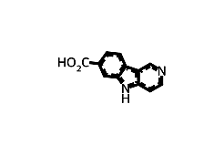 O=C(O)c1ccc2c(c1)[nH]c1ccncc12